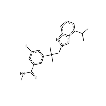 CNC(=O)c1cc(F)cc(C(C)(C)Cn2cc3c(C(C)C)cccc3n2)c1